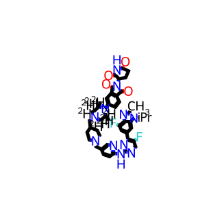 [2H]C1([2H])N(CC2CCN(Cc3ccc(Nc4ncc(F)c(-c5cc(F)c6nc(C)n(C(C)C)c6c5)n4)nc3)CC2)C([2H])([2H])C([2H])([2H])N(c2ccc3c(c2)C(=O)N(C2CCC(=O)NC2=O)C3=O)C1([2H])[2H]